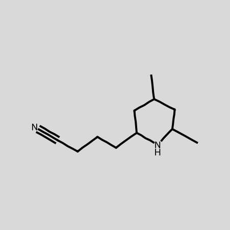 CC1CC(C)NC(CCCC#N)C1